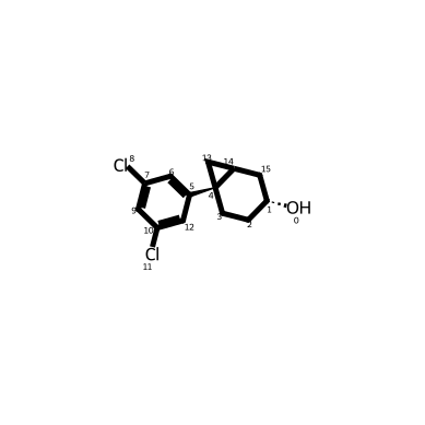 O[C@@H]1CC[C@]2(c3cc(Cl)cc(Cl)c3)CC2C1